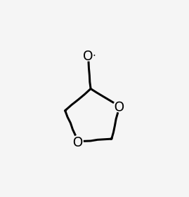 [O]C1COCO1